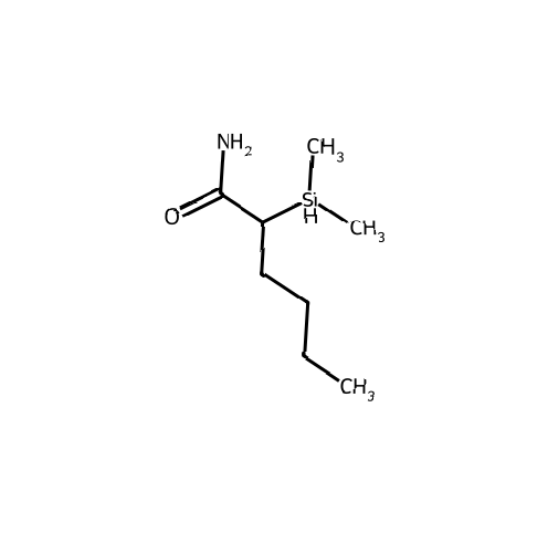 CCCCC(C(N)=O)[SiH](C)C